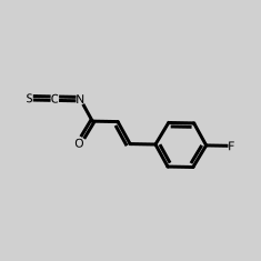 O=C(/C=C/c1ccc(F)cc1)N=C=S